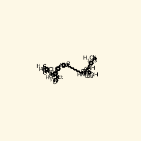 CCN(c1cc(-c2ccc(CN3CCN(C(=O)CCCCCCCCCC(=O)N[C@H](C(=O)N4C[C@@H](O)C[C@H]4C(=O)NCc4ccc(-c5scnc5C)cc4)C(C)(C)C)CC3)cc2)cc(C(=O)NCc2c(C)cc(C)[nH]c2=O)c1C)C1CCOCC1